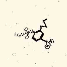 CCCCc1cc([N+](=O)[O-])ccc1NS(N)(=O)=O